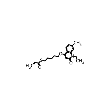 C=CC(=O)SCCCCCOc1cc(=O)n(CC)c2cc(C)ccc12